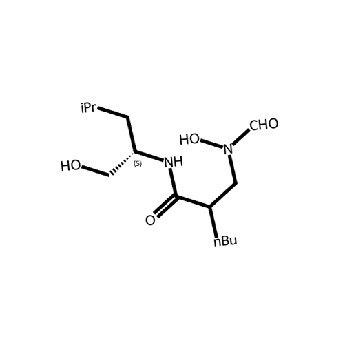 CCCCC(CN(O)C=O)C(=O)N[C@H](CO)CC(C)C